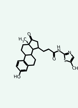 Cc1cnc(NC(=O)CCC2CC(=O)[C@@]3(C)CCC4c5ccc(O)cc5CCC4C23)s1